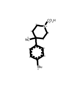 CC(C)(C)c1ccc(C2(C#N)CCN(C(=O)O)CC2)cc1